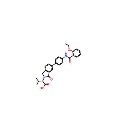 CCOc1ccccc1C(=O)Nc1ccc(-c2ccc3c(c2)C(=O)N([C@H](C(=O)O)C(C)C)C3)cc1